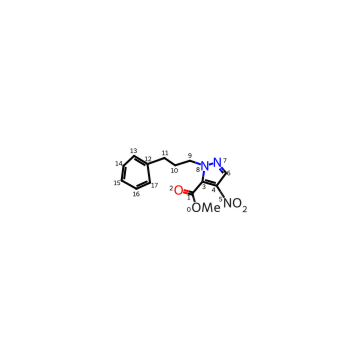 COC(=O)c1c([N+](=O)[O-])cnn1CCCc1ccccc1